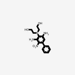 Nc1cc(-c2ccccc2)c([N+](=O)[O-])c(N)c1N(CCO)CCO